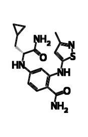 Cc1cc(Nc2cc(N[C@H](CC3CC3)C(N)=O)ccc2C(N)=O)sn1